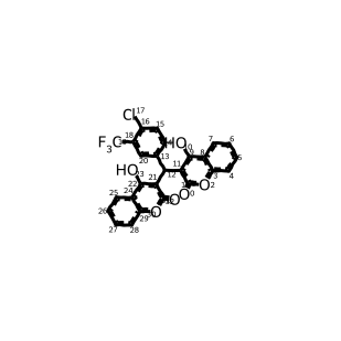 O=c1oc2ccccc2c(O)c1C(c1ccc(Cl)c(C(F)(F)F)c1)c1c(O)c2ccccc2oc1=O